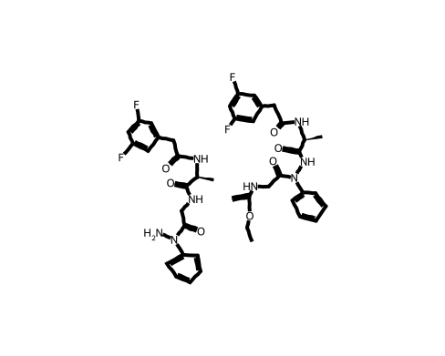 C=C(NCC(=O)N(NC(=O)[C@H](C)NC(=O)Cc1cc(F)cc(F)c1)c1ccccc1)OCC.C[C@H](NC(=O)Cc1cc(F)cc(F)c1)C(=O)NCC(=O)N(N)c1ccccc1